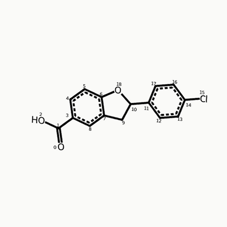 O=C(O)c1ccc2c(c1)CC(c1ccc(Cl)cc1)O2